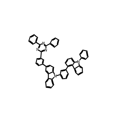 c1ccc(-c2nc(-c3ccccc3)nc(-c3cccc(-c4ccc5c(c4)c4ccccc4n5-c4cccc(-c5cccc6c5c5ccccc5n6-c5ccccc5)c4)c3)n2)cc1